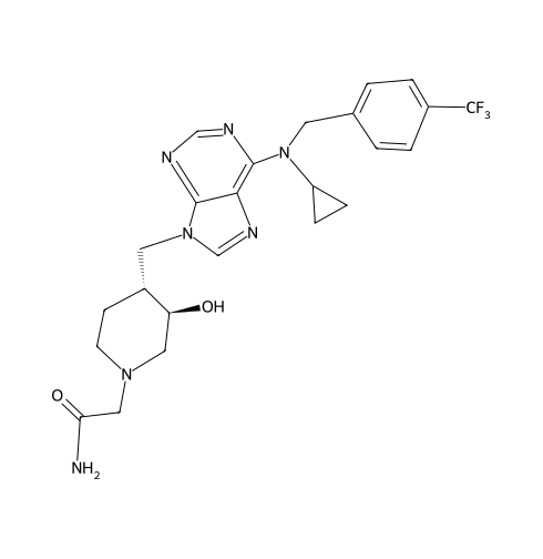 NC(=O)CN1CC[C@H](Cn2cnc3c(N(Cc4ccc(C(F)(F)F)cc4)C4CC4)ncnc32)[C@@H](O)C1